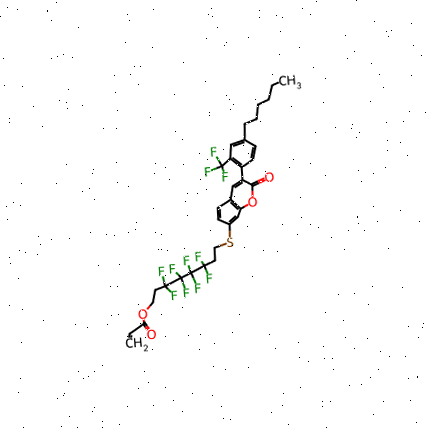 C=CC(=O)OCCC(F)(F)C(F)(F)C(F)(F)C(F)(F)CCSc1ccc2cc(-c3ccc(CCCCCC)cc3C(F)(F)F)c(=O)oc2c1